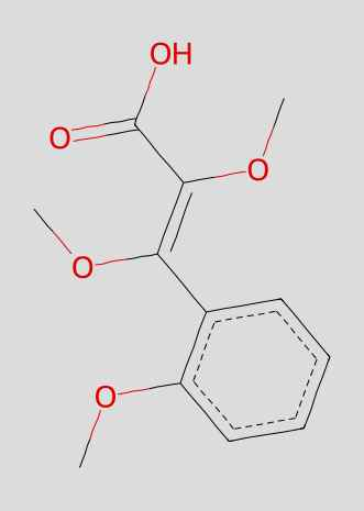 COC(C(=O)O)=C(OC)c1ccccc1OC